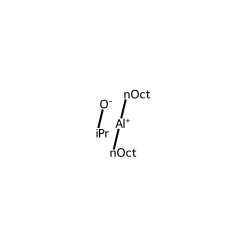 CC(C)[O-].CCCCCCC[CH2][Al+][CH2]CCCCCCC